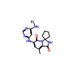 CCNc1cc(Nc2cc(C)c3n(c2=O)C2(CCCC2)NC3=O)ncn1